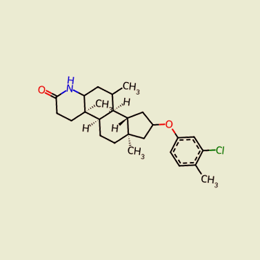 Cc1ccc(OC2C[C@H]3[C@@H]4C(C)CC5NC(=O)CC[C@]5(C)[C@@H]4CC[C@]3(C)C2)cc1Cl